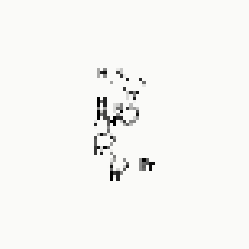 CC(C)c1cncc(-c2cc3c(cn2)CNN3c2cccc(N3CCC[C@@H](N)C3)n2)c1